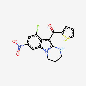 O=C(c1cccs1)c1c2n(c3cc([N+](=O)[O-])cc(F)c13)CCCN2